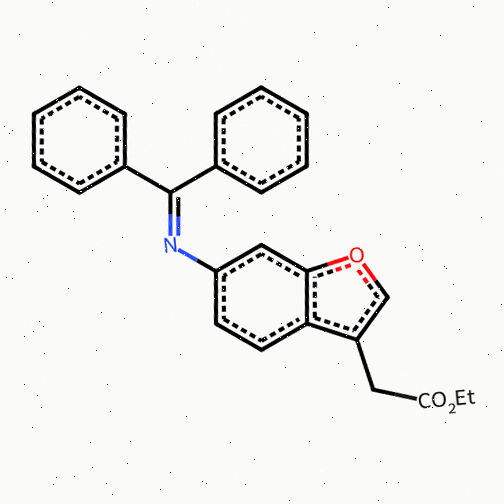 CCOC(=O)Cc1coc2cc(N=C(c3ccccc3)c3ccccc3)ccc12